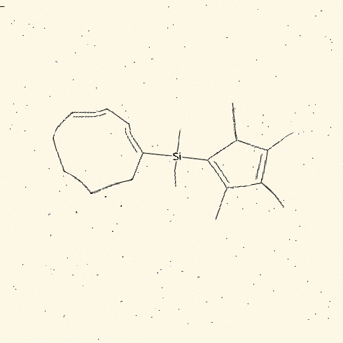 CC1=C(C)C(C)C([Si](C)(C)C2=CC=CCCCC2)=C1C